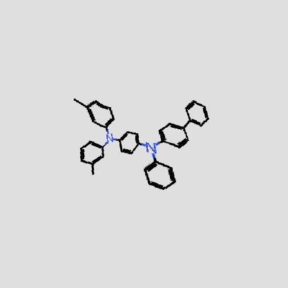 Cc1cccc(N(c2ccc(N(c3ccccc3)c3ccc(-c4ccccc4)cc3)cc2)c2cccc(C)c2)c1